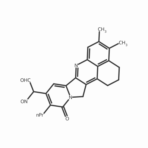 CCCc1c(C(C=O)N=O)cc2n(c1=O)Cc1c-2nc2cc(C)c(C)c3c2c1CCC3